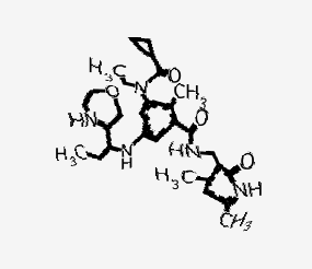 CCC(Nc1cc(C(=O)NCc2c(C)cc(C)[nH]c2=O)c(C)c(N(CC)C(=O)C2CC2)c1)C1COCCN1